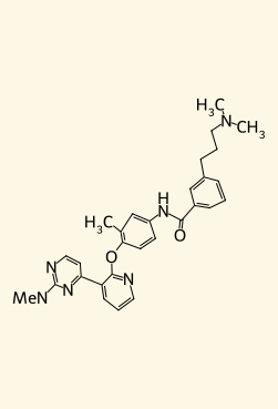 CNc1nccc(-c2cccnc2Oc2ccc(NC(=O)c3cccc(CCCN(C)C)c3)cc2C)n1